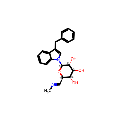 CN=C[C@H]1O[C@@H](n2cc(Cc3ccccc3)c3ccccc32)[C@H](O)[C@@H](O)[C@@H]1O